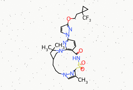 Cc1cn2nc1S(=O)(=O)NC(=O)c1ccc(-n3ccc(OCCC4(C(F)(F)F)CC4)n3)nc1N1CC(CCC2)CC1(C)C